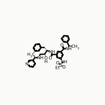 CCS(=O)(=O)Nc1cc(C(=O)N[C@@H](Cc2ccccc2)[C@H](O)CN[C@H](C)c2cccnc2)cc(C(=O)N[C@H](C)c2ccccc2)c1